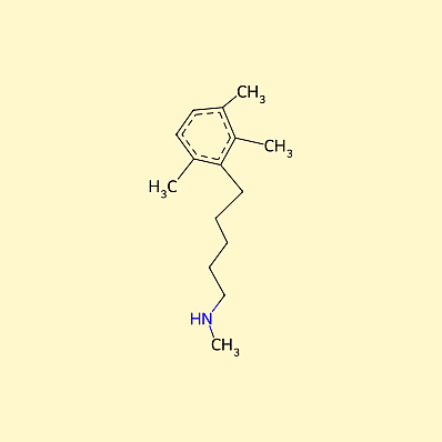 CNCCCCCc1c(C)ccc(C)c1C